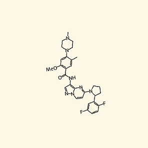 COc1cc(N2CCN(C)CC2)c(C)cc1C(=O)Nc1cnn2ccc(N3CCCC3c3cc(F)ccc3F)nc12